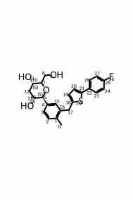 Cc1ccc([C@@H]2OC(CO)[C@@H](O)C[C@H]2O)cc1Cc1ccc(-c2ccc(F)cc2)s1